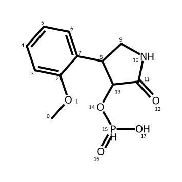 COc1ccccc1C1CNC(=O)C1O[PH](=O)O